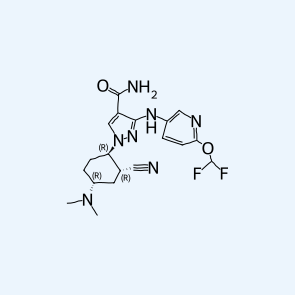 CN(C)[C@@H]1CC[C@@H](n2cc(C(N)=O)c(Nc3ccc(OC(F)F)nc3)n2)[C@H](C#N)C1